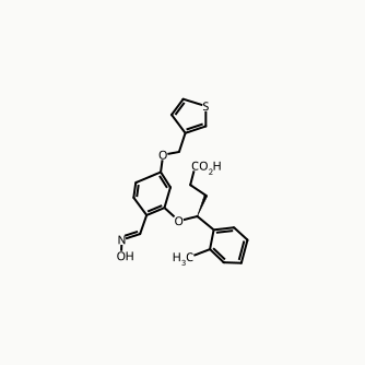 Cc1ccccc1[C@H](CCC(=O)O)Oc1cc(OCc2ccsc2)ccc1C=NO